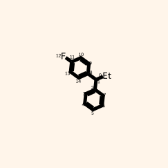 [CH2]CC(c1ccccc1)c1ccc(F)cc1